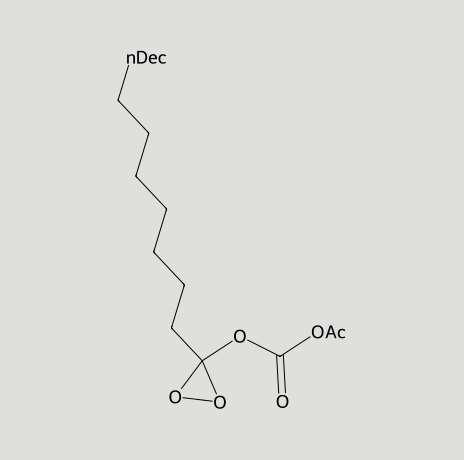 CCCCCCCCCCCCCCCCCC1(OC(=O)OC(C)=O)OO1